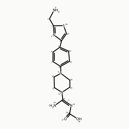 NCc1nc(-c2ccc(N3CCN(/C(N)=N/C(=O)O)CC3)cc2)cs1